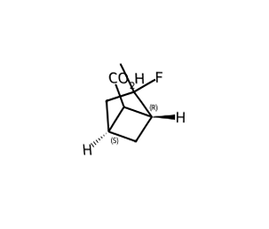 CC1(F)C[C@@H]2C[C@@H]1C2C(=O)O